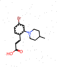 CC1CCN(c2cc(Br)ccc2C=CC(=O)O)CC1